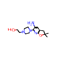 CC1(C)Cc2cc(N)c(N3CCN(CCO)CC3)nc2O1